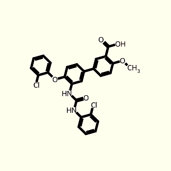 COc1ccc(-c2ccc(Oc3ccccc3Cl)c(NC(=O)Nc3ccccc3Cl)c2)cc1C(=O)O